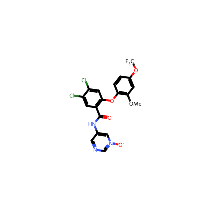 COc1cc(OC(F)(F)F)ccc1Oc1cc(Cl)c(Cl)cc1C(=O)Nc1cnc[n+]([O-])c1